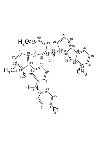 CCc1ccc(N(I)c2cccc3c2sc2c(C)ccc(-c4cc(N(I)c5cccc6c5sc5c(C)cccc56)ccc4C)c23)cc1